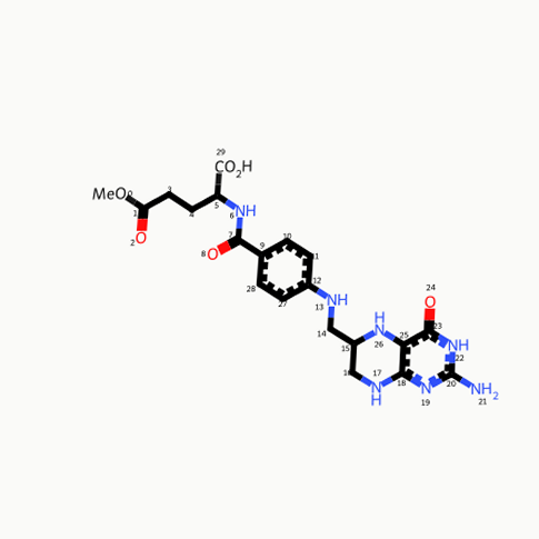 COC(=O)CCC(NC(=O)c1ccc(NCC2CNc3nc(N)[nH]c(=O)c3N2)cc1)C(=O)O